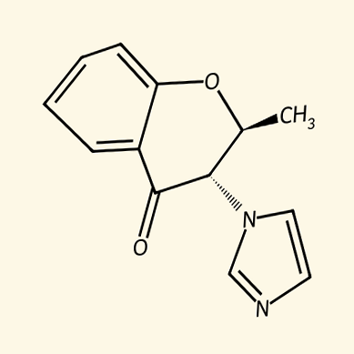 C[C@@H]1Oc2ccccc2C(=O)[C@H]1n1ccnc1